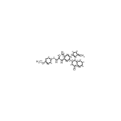 COc1ccc(CNC(=O)Nc2nc(-c3cc(Cl)c4ncccc4c3)c(-c3ccn(C)n3)nc2N)cn1